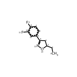 CCC1CC(c2ccc(F)c(F)c2)=NO1